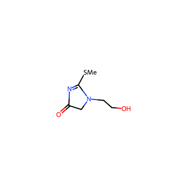 CSC1=NC(=O)CN1CCO